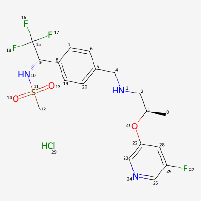 C[C@H](CNCc1ccc([C@H](NS(C)(=O)=O)C(F)(F)F)cc1)Oc1cncc(F)c1.Cl